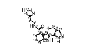 O=C(NCCc1c[nH]cn1)c1cccc2[nH]c3c(c12)CCc1cn[nH]c1-3